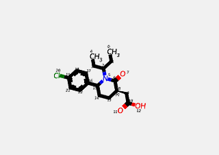 CCC(CC)N1C(=O)[C@@H](CC(=O)O)CCC1c1ccc(Cl)cc1